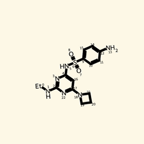 CCNc1nc(NS(=O)(=O)c2ccc(N)cc2)cc(N2CCC2)n1